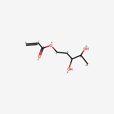 C=CC(=O)OCCC(O)C(C)O